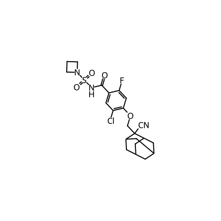 N#CC1(COc2cc(F)c(C(=O)NS(=O)(=O)N3CCC3)cc2Cl)C2CC3CC(C2)CC1C3